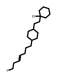 CCC1(CCC2CCC(CCC/C=C/CCF)CC2)CCCCC1